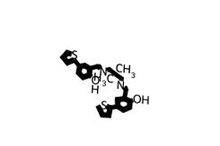 CC(C)(C/N=C/c1cc(-c2cccs2)ccc1O)C/N=C/c1cc(-c2cccs2)ccc1O